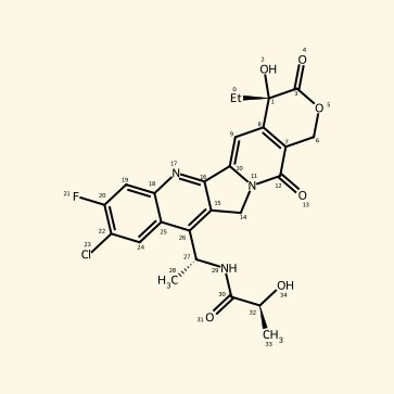 CC[C@@]1(O)C(=O)OCc2c1cc1n(c2=O)Cc2c-1nc1cc(F)c(Cl)cc1c2[C@@H](C)NC(=O)[C@H](C)O